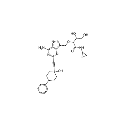 Nc1nc(C#CC2(O)CCC(c3ccccc3)CC2)nc2c1ncn2COC(C(=O)NC1CC1)C(O)CO